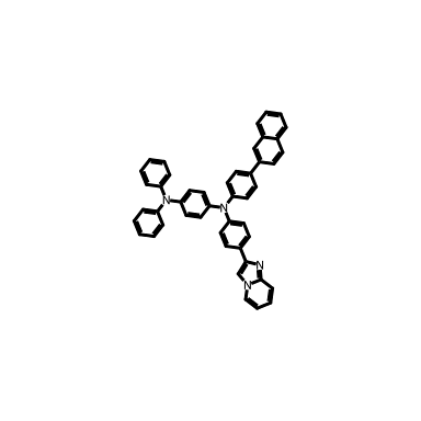 c1ccc(N(c2ccccc2)c2ccc(N(c3ccc(-c4ccc5ccccc5c4)cc3)c3ccc(-c4cn5ccccc5n4)cc3)cc2)cc1